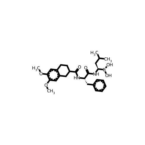 COc1cc2c(cc1OC)CC(C(=O)N[C@@H](Cc1ccccc1)C(=O)N[C@@H](CC(C)C)B(O)O)CC2